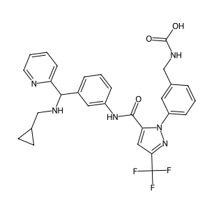 O=C(O)NCc1cccc(-n2nc(C(F)(F)F)cc2C(=O)Nc2cccc(C(NCC3CC3)c3ccccn3)c2)c1